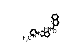 O=C(NC1CCC2CN(c3cccc(C(F)(F)F)n3)CC21)c1ccc2ccccc2n1